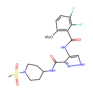 COc1ccc(F)c(F)c1C(=O)Nc1c[nH]nc1C(=O)NC1CCN(S(C)(=O)=O)CC1